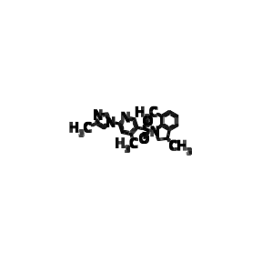 Cc1cn(-c2cc(C)c(S(=O)(=O)N3C[C@H](C)c4cccc(C)c43)cn2)cn1